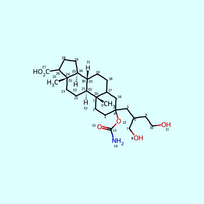 C[C@]12CCC(CC(CO)CCO)(OC(N)=O)CC1CC[C@@H]1[C@@H]2CC[C@]2(C)C(C(=O)O)CC[C@@H]12